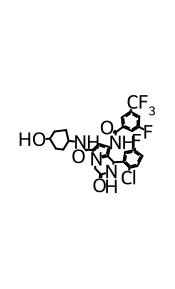 O=C1Cn2c(C(=O)NC3CCC(O)CC3)cc(NC(=O)c3cc(F)cc(C(F)(F)F)c3)c2C(c2cc(F)ccc2Cl)N1